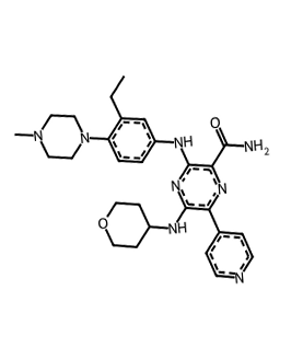 CCc1cc(Nc2nc(NC3CCOCC3)c(-c3ccncc3)nc2C(N)=O)ccc1N1CCN(C)CC1